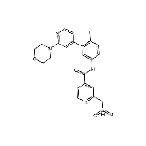 Cc1ccc(NC(=O)c2ccnc(C[SH](=O)=O)c2)cc1-c1ccnc(N2CCOCC2)c1